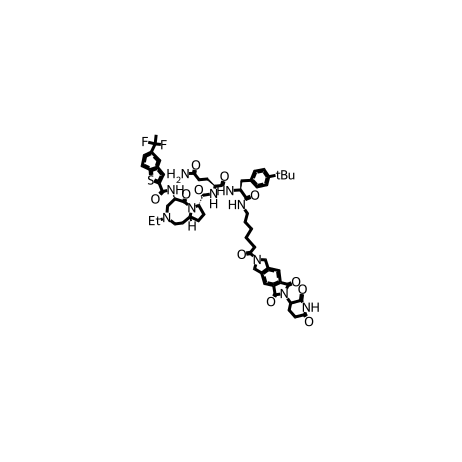 CCN1CC[C@H]2CC[C@@H](C(=O)N[C@@H](CCC(N)=O)C(=O)N[C@@H](Cc3ccc(C(C)(C)C)cc3)C(=O)NCCCCCC(=O)N3Cc4cc5c(cc4C3)C(=O)N(C3CCC(=O)NC3=O)C5=O)N2C(=O)[C@@H](NC(=O)c2cc3cc(C(C)(F)F)ccc3s2)C1